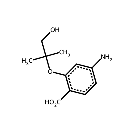 CC(C)(CO)Oc1cc(N)ccc1C(=O)O